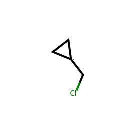 ClC[C]1CC1